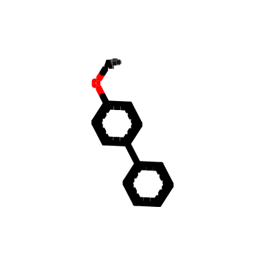 [Al+2][O]c1ccc(-c2ccccc2)cc1